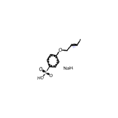 C/C=C/COc1ccc(S(=O)(=O)O)cc1.[NaH]